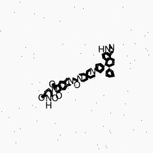 O=C1CCC(N2C(=O)c3cc4c(cc3C2=O)CN(CC(=O)N2CCC3(CC2)CCN(c2ccc([C@@H]5c6ccc7[nH]ncc7c6CC[C@@H]5c5ccccc5)cc2)CC3)C4)C(=O)N1